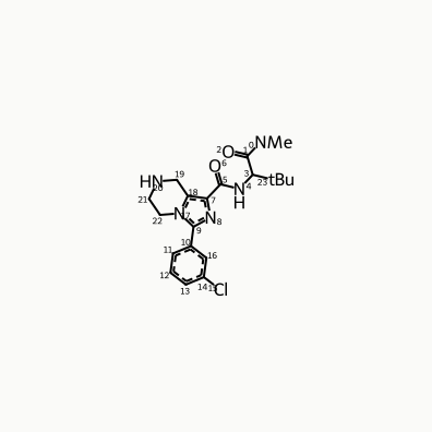 CNC(=O)C(NC(=O)c1nc(-c2cccc(Cl)c2)n2c1CNCC2)C(C)(C)C